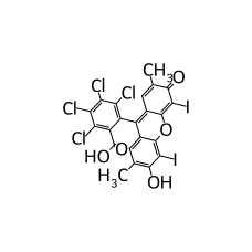 Cc1cc2c(-c3c(Cl)c(Cl)c(Cl)c(Cl)c3C(=O)O)c3cc(C)c(=O)c(I)c-3oc2c(I)c1O